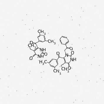 CCc1c(C(=O)c2cc(C)cc(C)c2)[nH]c(=O)[nH]c1=O.CCc1c(C(=O)c2cc(C)cc(C)c2)n(CC(=O)c2ccccc2)c(=O)[nH]c1=O